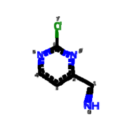 N=Cc1ccnc(Cl)n1